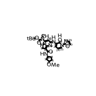 CO[C@@H]1CC[C@@H](NC(=O)c2cnn3c(N(C)C(=O)OC(C)(C)C)cc(NC4=CC=CN(c5ncco5)C4O)nc23)C1